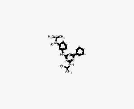 CC(C)Nc1nc(Nc2cccc([S+]([O-])N(C)C)c2)nc(-c2ccccc2)n1